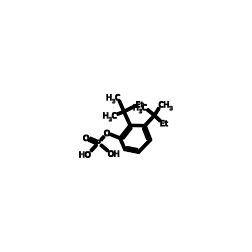 CCC(C)(C)c1cccc(OP(=O)(O)O)c1C(C)(C)CC